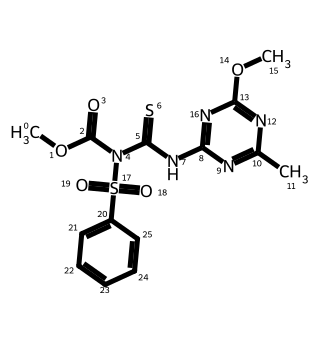 COC(=O)N(C(=S)Nc1nc(C)nc(OC)n1)S(=O)(=O)c1ccccc1